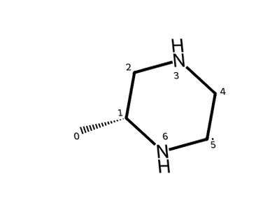 C[C@@H]1CNC[CH]N1